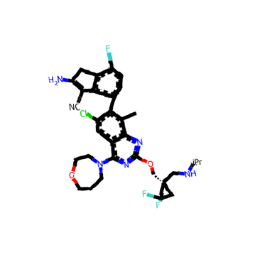 Cc1c(-c2ccc(F)c3c2C(C#N)=C(N)C3)c(Cl)cc2c(N3CCCOCC3)nc(OC[C@]3(CNC(C)C)CC3(F)F)nc12